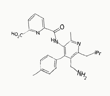 Cc1ccc(-c2c(CN)c(CC(C)C)nc(C)c2NC(=O)c2cccc(C(=O)O)n2)cc1